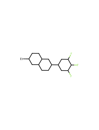 CCC1CCC2CC(C3CC(F)C(F)C(F)C3)CCC2C1